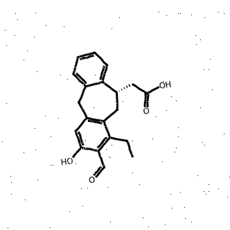 CCc1c(C=O)c(O)cc2c1C[C@@H](CC(=O)O)c1ccccc1C2